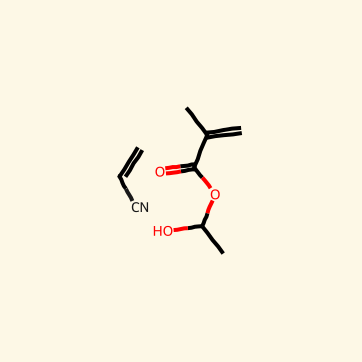 C=C(C)C(=O)OC(C)O.C=CC#N